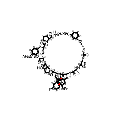 CCCc1cccc(C[C@@H]2NC(=O)[C@@H](C)NC(=O)[C@H](C)NC(=O)CCSCc3cccc(c3)CSCCNC(=O)[C@]3(C)CCCN3C(=O)[C@H](Cc3ccc(OC)cc3)NC[C@H]([C@@H](C)OC)NC(=O)[C@@H]3[C@@H](O)CCN3C(=O)[C@H](Cc3c[nH]c4ccc(F)cc34)NC2=O)c1